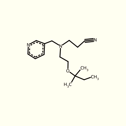 CCC(C)(C)OCCN(CCC#N)Cc1cccnc1